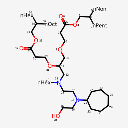 CCCCCCCCCC(CCCCC)COC(=O)CCOCC(CN(CCCCCC)CCN(CCO)C1CCCCCC1)OCCC(=O)OCC(CCCCCC)CCCCCCCC